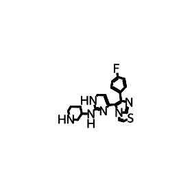 Fc1ccc(-c2nc3sccn3c2C2=CCNC(NC3CCCNC3)=N2)cc1